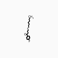 CCCCCCCCSCCCC(=O)c1ccc(F)cc1